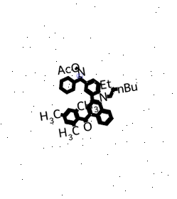 CCCCC(CC)Cn1c2ccc(/C(=N/OC(C)=O)C3CCCCC3)cc2c2cc(C(=O)c3c(C)cc(C)cc3C)c3ccccc3c21